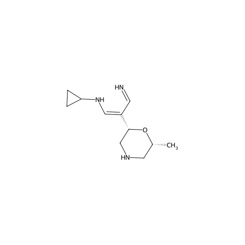 C[C@@H]1CNC[C@H](/C(C=N)=C/NC2CC2)O1